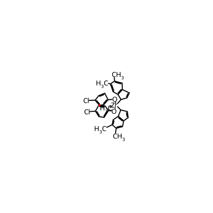 C[CH]=[Zr]([O]c1ccc(Cl)cc1)([O]c1ccc(Cl)cc1)([CH]1C=Cc2cc(C)c(C)cc21)[CH]1C=Cc2cc(C)c(C)cc21